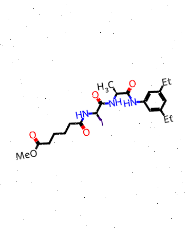 CCc1cc(CC)cc(NC(=O)[C@H](C)NC(=O)C(I)NC(=O)CCCCC(=O)OC)c1